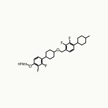 CCCCCCOc1ccc(C2CCC(OCc3ccc(C4CCC(C)CC4)c(F)c3F)CC2)c(F)c1F